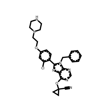 N#CC1(Oc2ncnc3c2nc(-c2ccc(OCCN4CCNCC4)cc2Cl)n3Cc2ccccc2)CC1